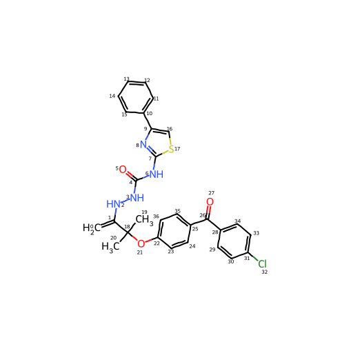 C=C(NNC(=O)Nc1nc(-c2ccccc2)cs1)C(C)(C)Oc1ccc(C(=O)c2ccc(Cl)cc2)cc1